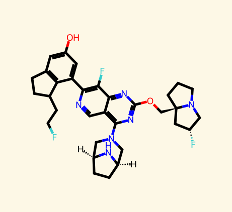 Oc1cc2c(c(-c3ncc4c(N5C[C@H]6CC[C@@H](C5)N6)nc(OC[C@@]56CCCN5C[C@H](F)C6)nc4c3F)c1)C(CCF)CC2